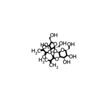 C=C(C)C(=O)O[C@H]1[C@@H](O[C@]2(CO)O[C@H](CO)[C@@H](O)[C@@H]2OC(=O)C(=C)C)O[C@H](CO)[C@@H](O)[C@@H]1O